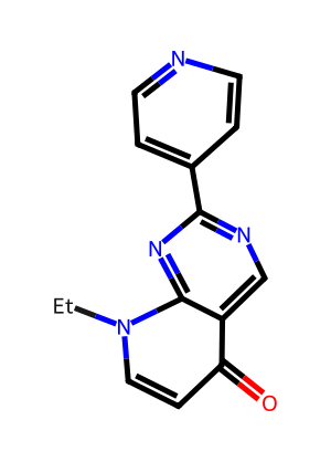 CCn1ccc(=O)c2cnc(-c3ccncc3)nc21